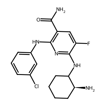 NC(=O)c1cc(F)c(NC2CCCC[C@@H]2N)nc1Nc1cccc(Cl)c1